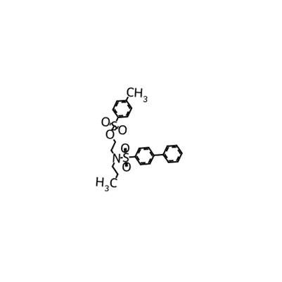 CCCN(CCOS(=O)(=O)c1ccc(C)cc1)S(=O)(=O)c1ccc(-c2ccccc2)cc1